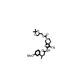 COc1cccc(C(C)CC(=O)Nc2sc3c(c2C#N)CCN(C(=O)OCC2COC(C)(C)O2)C3)c1